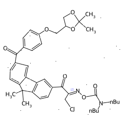 CCCCN(CCCC)C(=O)O/N=C(\CCl)C(=O)c1ccc2c(c1)-c1cc(C(=O)c3ccc(OCC4COC(C)(C)O4)cc3)ccc1C2(C)C